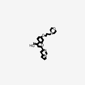 ON=c1cc(-c2cc3cccn3cn2)oc2cc(OCCCN3CCOCC3)ccc12